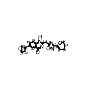 O=c1nc(Cc2nc(C3=CCCCO3)no2)[nH]c2ccc(-c3ccon3)cc12